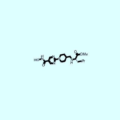 COC(=O)[C@H](CC(C)C)NCC1CCN(c2ncc(C(=O)NO)cn2)CC1